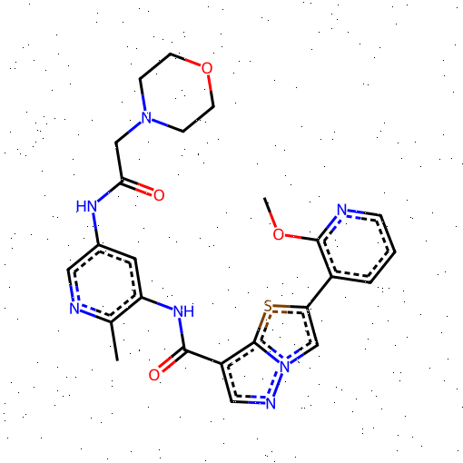 COc1ncccc1-c1cn2ncc(C(=O)Nc3cc(NC(=O)CN4CCOCC4)cnc3C)c2s1